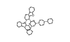 c1ccc(-c2ccc(-c3cc(-c4ccccc4)nc(-c4c(-n5c6ccccc6c6ccccc65)ccc5c4oc4ccccc45)n3)cc2)cc1